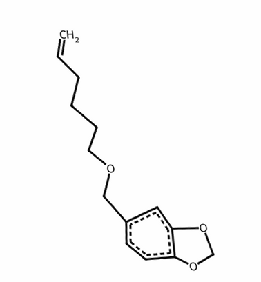 C=CCCCCOCc1ccc2c(c1)OCO2